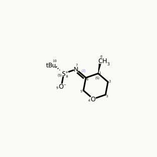 C[C@H]1CCOC/C1=N\[S@+]([O-])C(C)(C)C